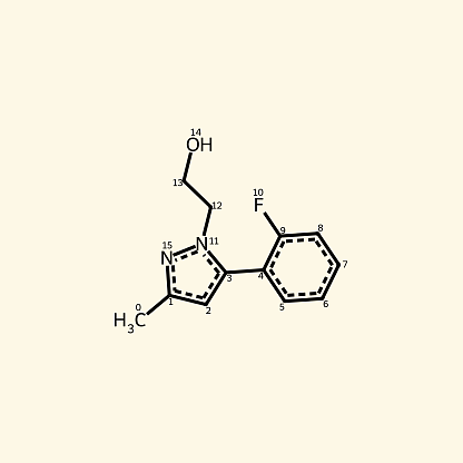 Cc1cc(-c2ccccc2F)n(CCO)n1